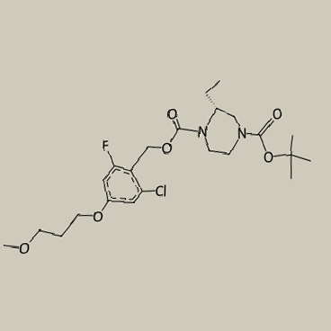 CC[C@@H]1CN(C(=O)OC(C)(C)C)CCN1C(=O)OCc1c(F)cc(OCCCOC)cc1Cl